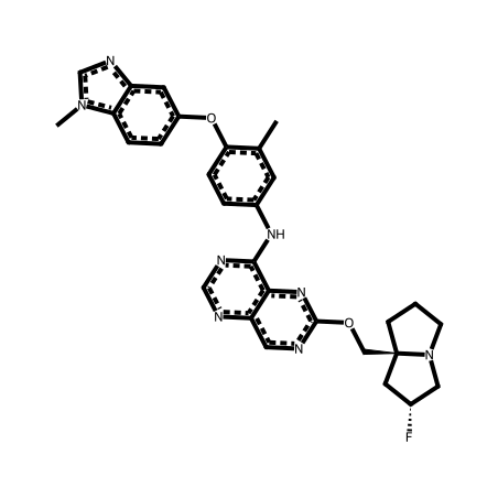 Cc1cc(Nc2ncnc3cnc(OC[C@@]45CCCN4C[C@H](F)C5)nc23)ccc1Oc1ccc2c(c1)ncn2C